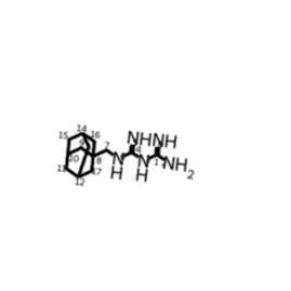 N=C(N)NC(=N)NCC12CC3CC(CC(C3)C1)C2